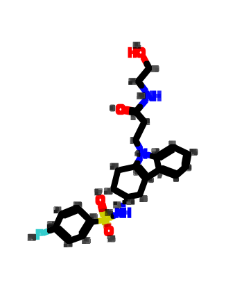 O=C(CCn1c2c(c3ccccc31)C[C@H](NS(=O)(=O)c1ccc(F)cc1)CC2)NCCO